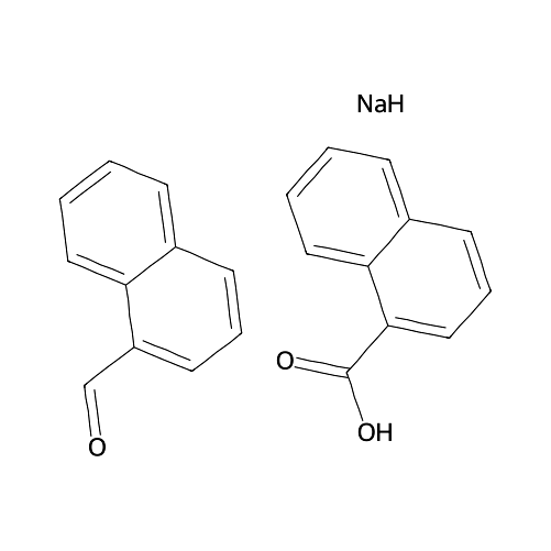 O=C(O)c1cccc2ccccc12.O=Cc1cccc2ccccc12.[NaH]